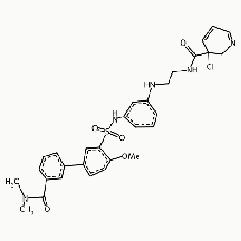 COc1ccc(-c2cccc(C(=O)N(C)C)c2)cc1S(=O)(=O)Nc1cccc(NCCNC(=O)C2(Cl)C=CC=NC2)c1